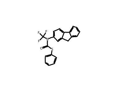 O=C(Sc1ccccc1)N(c1ccc2c(c1)Cc1ccccc1-2)C(F)(F)F